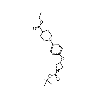 CCOC(=O)C1CCN(c2ccc(OC3CN(C(=O)OC(C)(C)C)C3)cc2)CC1